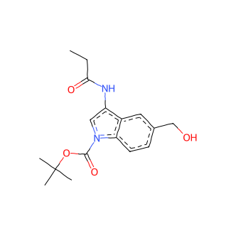 CCC(=O)Nc1cn(C(=O)OC(C)(C)C)c2ccc(CO)cc12